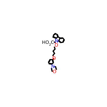 O=C(O)C(OCCCCCOc1cccc(N2CCOCC2)c1)n1c2ccccc2c2ccccc21